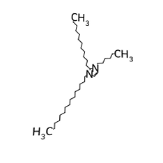 CCCCCCCCCCCCCCCN1C=CN(CCCCCC)C1CCCCCCCCCCCC